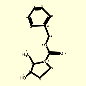 CC1C(O)CCN1C(=O)OCc1ccccc1